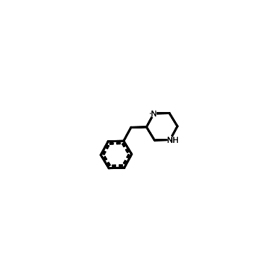 c1ccc(CC2CNCC[N]2)cc1